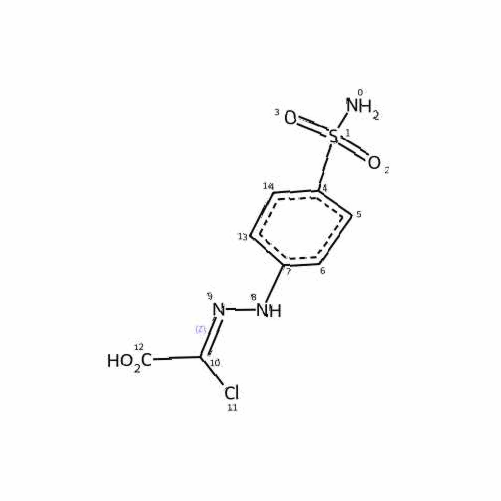 NS(=O)(=O)c1ccc(N/N=C(\Cl)C(=O)O)cc1